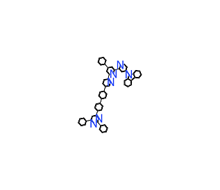 c1ccc(-c2cc(-c3ccc(-c4ccc(-c5ccc(-c6cc(-c7ccccc7)nc(-c7ccccc7)n6)cc5)cc4)cn3)nc(-c3cc(-n4c5ccccc5c5ccccc54)ccn3)c2)cc1